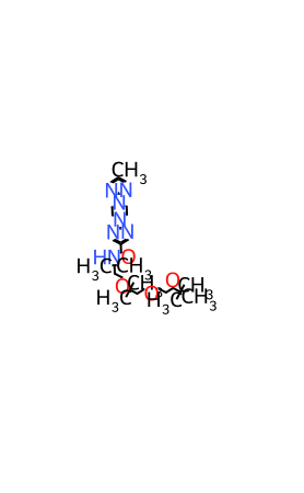 Cc1cnc(N2CCN(c3ncc(C(=O)NC(C)(C)CCOC(C)(C)CCOCCC(=O)C(C)(C)C)cn3)CC2)nc1